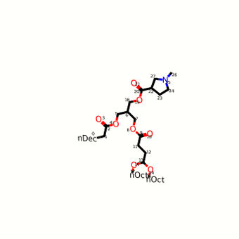 CCCCCCCCCCCC(=O)OCC(COC(=O)CCC(OCCCCCCCC)OCCCCCCCC)COC(=O)C1CCN(C)C1